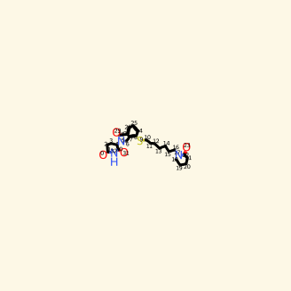 O=C1CCC(N2Cc3c(SCCCCCCCN4CCCCC4=O)cccc3C2=O)C(=O)N1